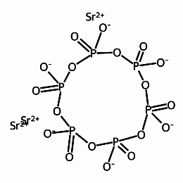 O=P1([O-])OP(=O)([O-])OP(=O)([O-])OP(=O)([O-])OP(=O)([O-])OP(=O)([O-])O1.[Sr+2].[Sr+2].[Sr+2]